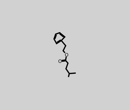 CC(C)CCC(=O)OCCc1ccccc1